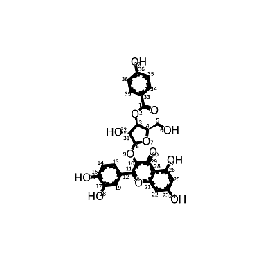 O=C(O[C@H]1[C@@H](CO)OC(Oc2c(-c3ccc(O)c(O)c3)oc3cc(O)cc(O)c3c2=O)[C@@H]1O)c1ccc(O)cc1